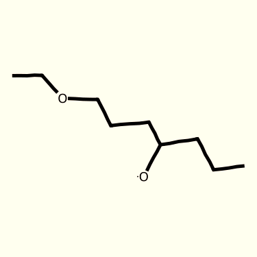 CCCC([O])CCCOCC